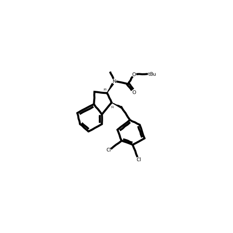 CN(C(=O)OC(C)(C)C)[C@@H]1Cc2ccccc2[C@@H]1Cc1ccc(Cl)c(Cl)c1